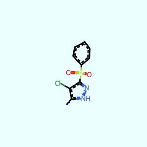 Cc1[nH]nc(S(=O)(=O)c2ccccc2)c1Cl